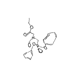 CCOC(=O)CN(C=O)CP(=O)(Oc1ccccc1)Oc1ccccc1